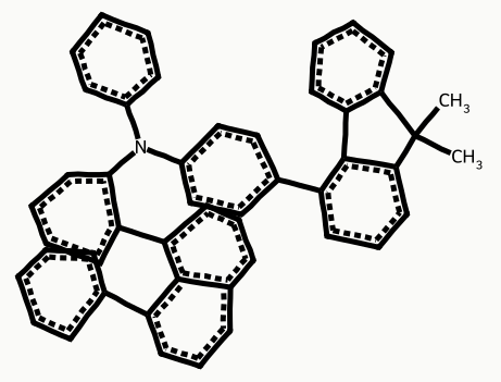 CC1(C)c2ccccc2-c2c(-c3ccc(N(c4ccccc4)c4ccccc4-c4cccc5cccc(-c6ccccc6)c45)cc3)cccc21